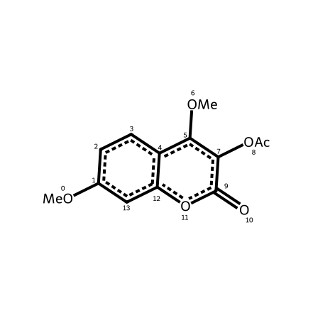 COc1ccc2c(OC)c(OC(C)=O)c(=O)oc2c1